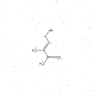 C=C(C)/C(C)=C/CCCC